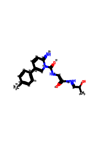 CC(O)CNC(=O)CNC(=O)n1cc(-c2ccc(C(F)(F)F)cc2)ccc1=N